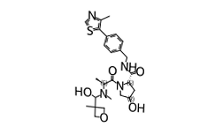 Cc1ncsc1-c1ccc(CNC(=O)[C@@H]2C[C@@H](O)CN2C(=O)[C@H](C)N(C)C(O)C2(C)COC2)cc1